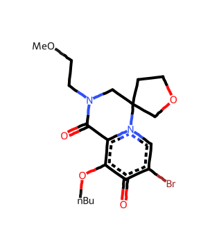 CCCCOc1c2n(cc(Br)c1=O)C1(CCOC1)CN(CCOC)C2=O